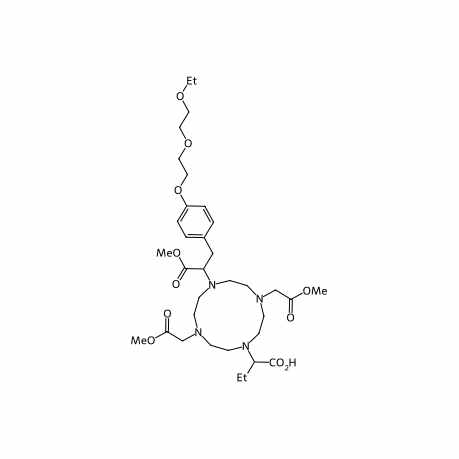 CCOCCOCCOc1ccc(CC(C(=O)OC)N2CCN(CC(=O)OC)CCN(C(CC)C(=O)O)CCN(CC(=O)OC)CC2)cc1